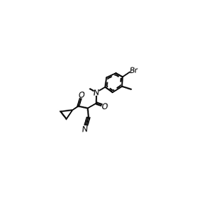 Cc1cc(N(C)C(=O)C(C#N)C(=O)C2CC2)ccc1Br